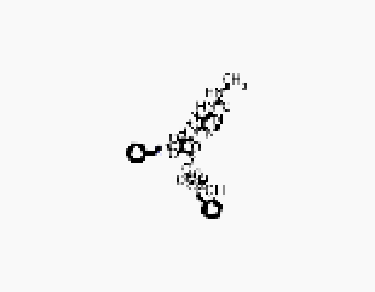 CCNC(=O)Nc1ncnc2c1ncn2[C@@H]1O[C@H](COP(=O)(O)OP(=O)(O)Cc2ccccc2)C2O[C@H](/C=C/c3ccccc3)O[C@@H]21